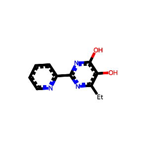 [CH2]Cc1nc(-c2ccccn2)nc(O)c1O